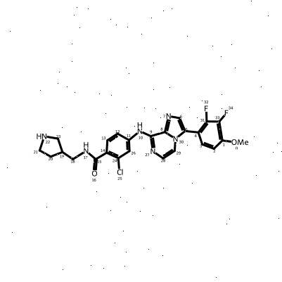 COc1ccc(-c2cnc3c(Nc4ccc(C(=O)NCC5CCNC5)c(Cl)c4)nccn23)c(F)c1F